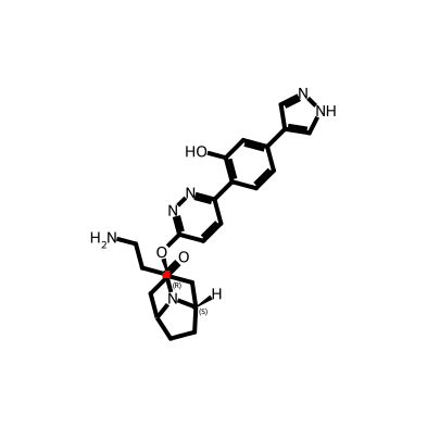 NCCC(=O)N1C2CC[C@H]1C[C@H](Oc1ccc(-c3ccc(-c4cn[nH]c4)cc3O)nn1)C2